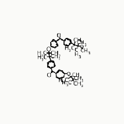 COC(C)(C)C(C)(C)c1ccc(C(=O)c2ccc(OC(C)(C)C(C)(C)c3ccc(C(=O)C4=CC=C(OC(C)(C)C(C)(C)C)C=C=C4)cc3)cc2)cc1